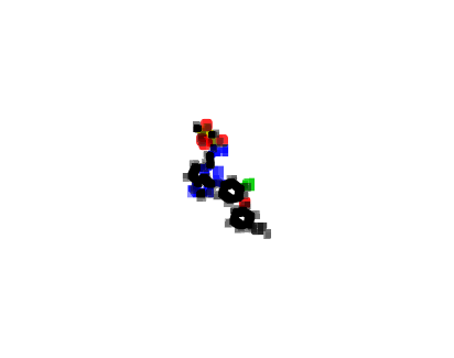 CS(=O)(=O)CS(=O)(=O)NCCn1ccc2ncnc(Nc3ccc(Oc4cccc(C(F)(F)F)c4)c(Cl)c3)c21